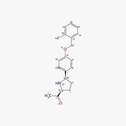 CC(=O)[C@@H]1CC[C@H](c2ccc(OCc3ccccc3F)cn2)N1